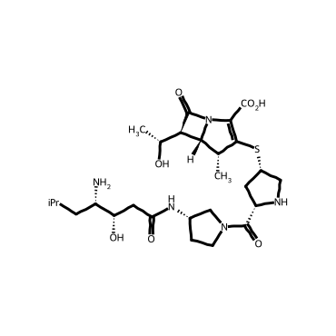 CC(C)C[C@H](N)[C@@H](O)CC(=O)N[C@H]1CCN(C(=O)[C@@H]2C[C@H](SC3=C(C(=O)O)N4C(=O)[C@H]([C@@H](C)O)[C@H]4[C@H]3C)CN2)C1